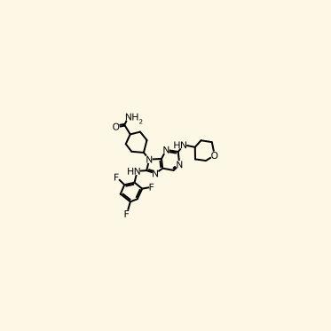 NC(=O)C1CCC(n2c(Nc3c(F)cc(F)cc3F)nc3cnc(NC4CCOCC4)nc32)CC1